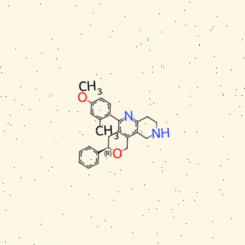 COc1ccc(-c2nc3c(c4c2C[C@H](c2ccccc2)OC4)CNCC3)c(C)c1